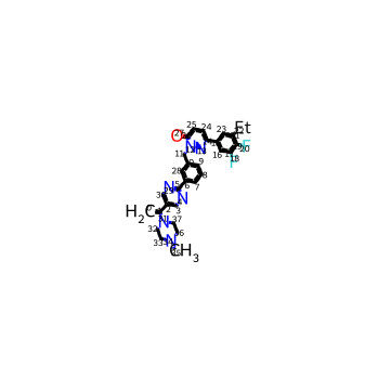 C=C(c1cnc(-c2cccc(Cn3nc(-c4cc(F)c(F)c(CC)c4)ccc3=O)c2)nc1)N1CCN(C)CC1